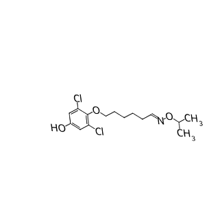 CC(C)ON=CCCCCCOc1c(Cl)cc(O)cc1Cl